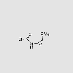 CCC(=O)NC1CC1OC